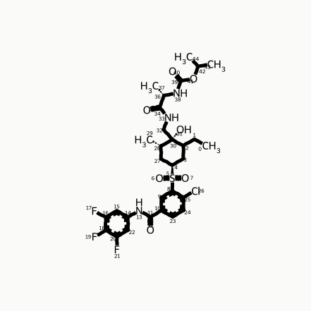 CCC1C[C@@H](S(=O)(=O)c2cc(C(=O)Nc3cc(F)c(F)c(F)c3)ccc2Cl)C[C@H](C)[C@@]1(O)CNC(=O)[C@H](C)NC(=O)OC(C)C